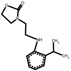 CC(C)c1ccccc1NCCN1CCOC1=O